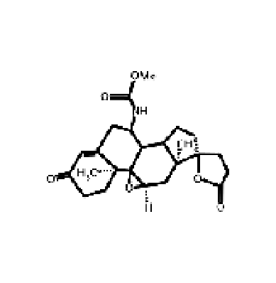 COC(=O)N[C@@H]1CC2=CC(=O)CC[C@]2(C)[C@@]23O[C@@H]2C[C@@]2(C)C(CC[C@@]24CCC(=O)O4)C13